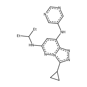 CCC(CC)Nc1cc(Nc2cncnc2)c2nnc(C3CC3)n2n1